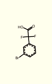 O=C(O)C(F)(F)c1cccc(Br)c1